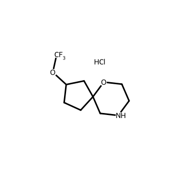 Cl.FC(F)(F)OC1CCC2(CNCCO2)C1